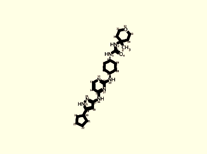 CC1(NC(=O)N[C@H]2CC[C@H](Nc3nccc(Nc4cc(C5CCCC5)[nH]n4)n3)CC2)CCOCC1